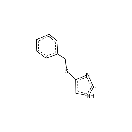 [c]1nc(SCc2ccccc2)c[nH]1